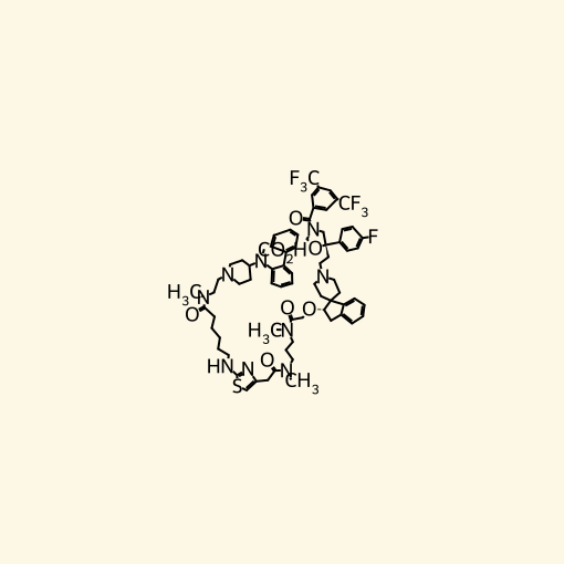 CN(CCN1CCC(N(C(=O)O)c2ccccc2-c2ccccc2)CC1)C(=O)CCCCCNc1nc(CC(=O)N(C)CCCN(C)C(=O)CO[C@H]2Cc3ccccc3C23CCN(CC[C@]2(c4ccc(F)cc4)CN(C(=O)c4cc(C(F)(F)F)cc(C(F)(F)F)c4)CO2)CC3)cs1